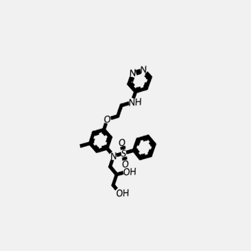 Cc1cc(OCCNc2ccnnc2)cc(N(CC(O)CO)S(=O)(=O)c2ccccc2)c1